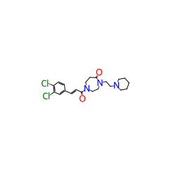 O=C(/C=C/c1ccc(Cl)c(Cl)c1)N1CCC(=O)N(CCN2CCCCC2)CC1